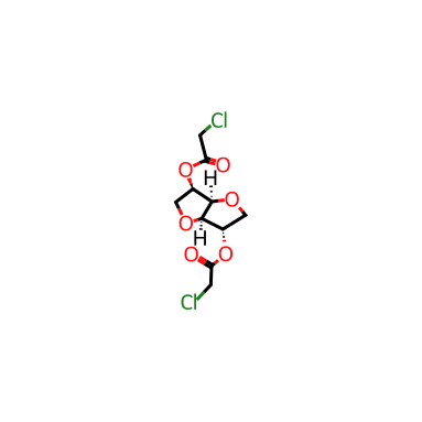 O=C(CCl)O[C@H]1CO[C@H]2[C@@H]1OC[C@H]2OC(=O)CCl